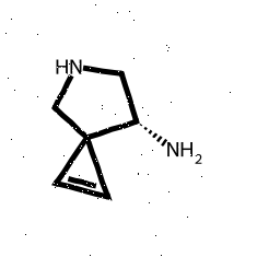 N[C@H]1CNCC12C=C2